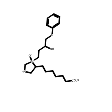 O=C(O)CCCCCCC1CNC[N+]1([O-])CCC(O)COc1ccccc1